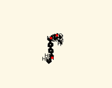 CCCN(Cc1ncc(-c2ccc(-c3ccc(-c4cnc([C@@H]5CCCN5)[nH]4)cc3)cc2)[nH]1)C(=O)[C@H](CCC(F)(F)F)NC(=O)OC